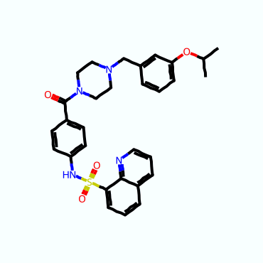 CC(C)Oc1cccc(CN2CCN(C(=O)c3ccc(NS(=O)(=O)c4cccc5cccnc45)cc3)CC2)c1